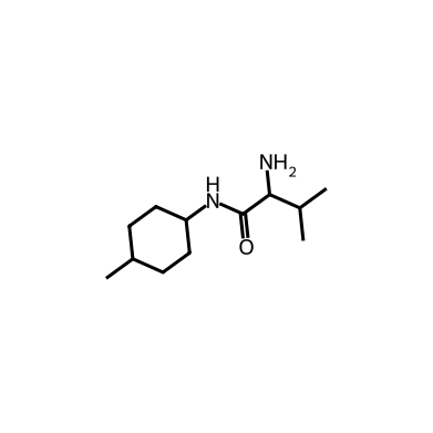 CC1CCC(NC(=O)C(N)C(C)C)CC1